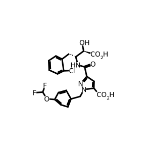 O=C(N[C@H](Cc1ccccc1Cl)[C@@H](O)C(=O)O)c1cc(C(=O)O)n(Cc2ccc(OC(F)F)cc2)n1